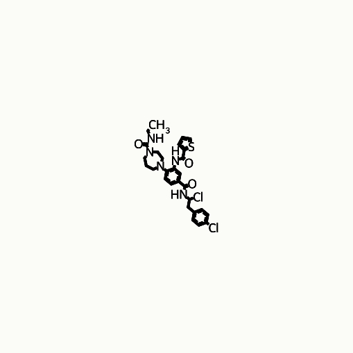 CCNC(=O)N1CCCN(c2ccc(C(=O)NC(Cl)Cc3ccc(Cl)cc3)cc2NC(=O)c2cccs2)CC1